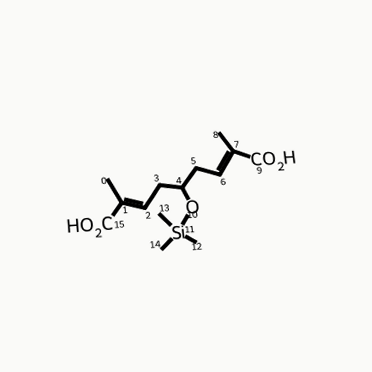 CC(=CCC(CC=C(C)C(=O)O)O[Si](C)(C)C)C(=O)O